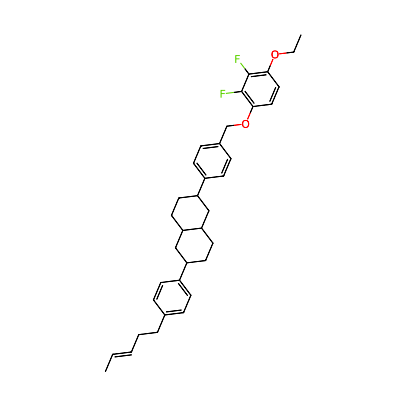 C/C=C/CCc1ccc(C2CCC3CC(c4ccc(COc5ccc(OCC)c(F)c5F)cc4)CCC3C2)cc1